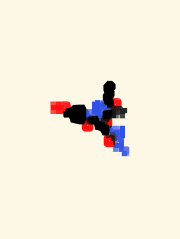 C=CCCC(=O)N[C@H](C(=O)N[C@@H](CCCNC(N)=O)C(=O)Nc1ccc(CO)cc1)C(C)C